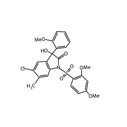 COc1ccc(S(=O)(=O)N2C(=O)C(O)(c3ccccc3OC)c3cc(Cl)c(C)cc32)c(OC)c1